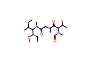 CCC(C)C([C@@H](CC)OC)N(C)C(=O)CNC(=O)C(C(C)C)N(C)C=O